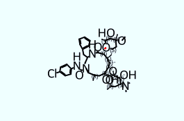 CO[C@]1(C)C[C@H](C[C@H]2[C@H](C)[C@@H](O[C@@H]3O[C@H](C)C[C@H](N(C)C)[C@H]3O)[C@](C)(O)C[C@@H](C)CN(C(=O)Nc3ccc(Cl)cc3)CC(Cc3ccccc3)NC(=O)[C@@H]2C)O[C@@H](C)[C@@H]1O